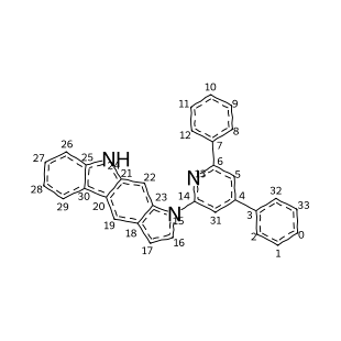 c1ccc(-c2cc(-c3ccccc3)nc(-n3ccc4cc5c(cc43)[nH]c3ccccc35)c2)cc1